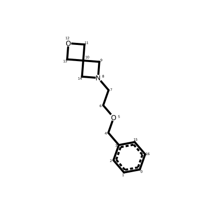 c1ccc(COCCN2CC3(COC3)C2)cc1